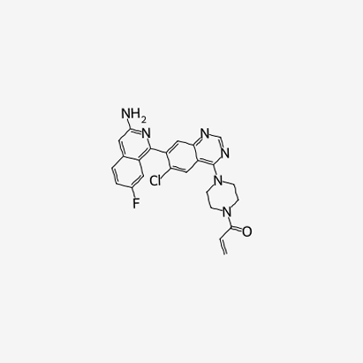 C=CC(=O)N1CCN(c2ncnc3cc(-c4nc(N)cc5ccc(F)cc45)c(Cl)cc23)CC1